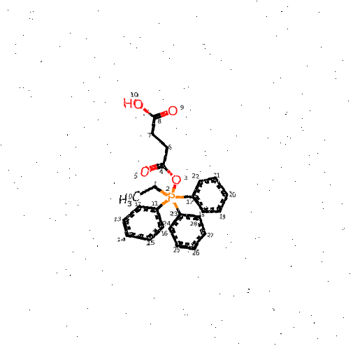 CCP(OC(=O)CCC(=O)O)(c1ccccc1)(c1ccccc1)c1ccccc1